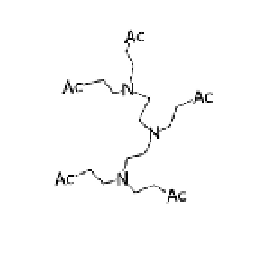 CC(=O)CCN(CCC(C)=O)CCN(CCC(C)=O)CCN(CCC(C)=O)CCC(C)=O